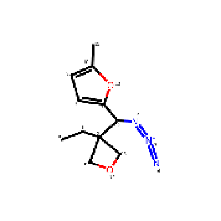 CCC1(C(N=[N+]=[N-])c2ccc(C)o2)COC1